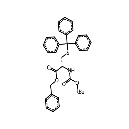 CC(C)(C)OC(=O)N[C@@H](CSC(c1ccccc1)(c1ccccc1)c1ccccc1)C(=O)OCc1ccccc1